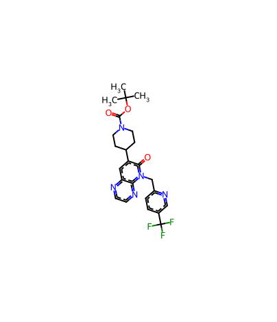 CC(C)(C)OC(=O)N1CCC(c2cc3nccnc3n(Cc3ccc(C(F)(F)F)cn3)c2=O)CC1